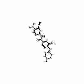 C#Cc1nc(NC(=O)c2ccc(CN3CCN(C)CC3)c(C(F)(F)F)c2)ncc1N(C)C